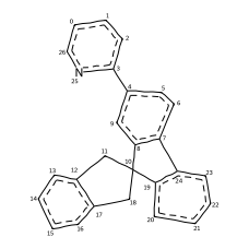 c1ccc(-c2ccc3c(c2)C2(Cc4ccccc4C2)c2ccccc2-3)nc1